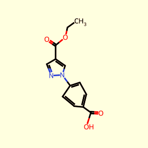 CCOC(=O)c1cnn(-c2ccc(C(=O)O)cc2)c1